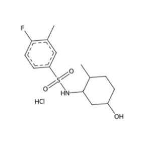 Cc1cc(S(=O)(=O)N[C]2CC(O)CCC2C)ccc1F.Cl